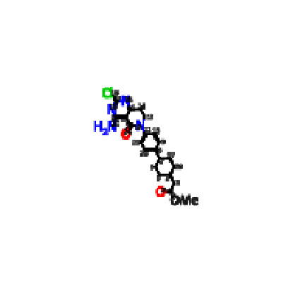 COC(=O)CC1CCC(c2ccc(N3CCc4nc(Cl)nc(N)c4C3=O)cc2)CC1